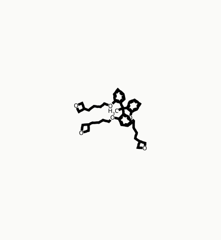 CC(c1ccccc1OCCCCC1COC1)(c1ccccc1OCCCCC1COC1)c1ccccc1OCCCCC1COC1